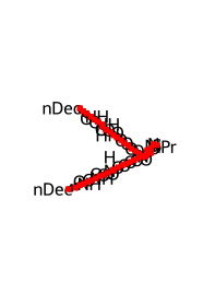 CCCCCCCCCCCCCCCC(=O)NCCOCCNC(=O)CCOCCNC(=O)CCOCCOCCOCCOCCN(CCOCCOCCOCCOCCC(=O)NCCOCCC(=O)NCCOCCNC(=O)CCCCCCCCCCCCCCC)C(=O)c1ccc(-c2nnc(SC(C)C)o2)cc1